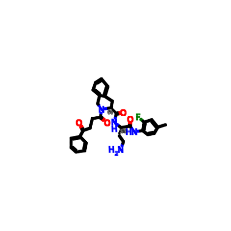 Cc1ccc(NC(=O)[C@H](CCN)NC(=O)[C@@H]2Cc3ccccc3CN2C(=O)CCC(=O)c2ccccc2)c(F)c1